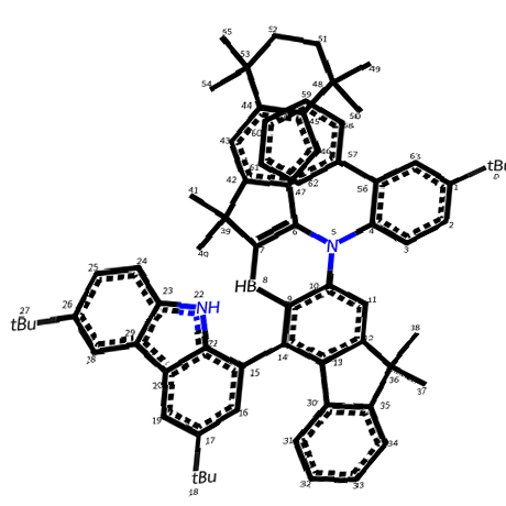 CC(C)(C)c1ccc(N2C3=C(Bc4c2cc2c(c4-c4cc(C(C)(C)C)cc5c4[nH]c4ccc(C(C)(C)C)cc45)-c4ccccc4C2(C)C)C(C)(C)c2cc4c(cc23)C(C)(C)CCC4(C)C)c(-c2ccccc2)c1